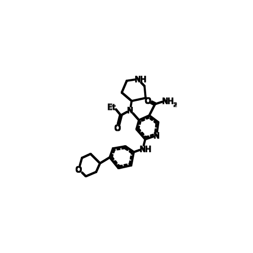 CCC(=O)N(c1cc(Nc2ccc(C3CCOCC3)cc2)ncc1C(N)=O)C1CCNCC1